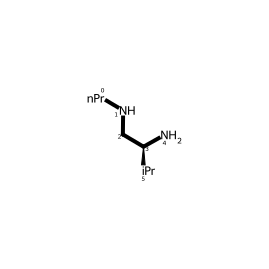 CCCNC[C@@H](N)C(C)C